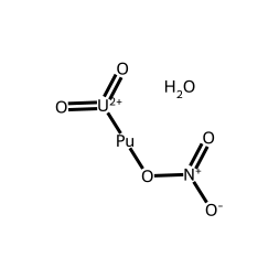 O.O=[N+]([O-])[O][Pu][U+2](=[O])=[O]